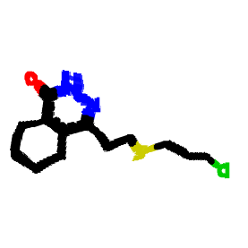 O=c1[nH]nc(CCSCCCCl)c2c1CCCC2